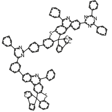 c1ccc(-c2cc(-c3cccc(-c4ccc5c(c4)nc(-c4ccccc4)c4cc6c(cc45)C4(c5ccccc5S6)c5ccccc5-c5ccccc54)c3)nc(-c3ccc(-c4ccc5c(c4)Sc4cc6c(-c7ccccc7)nc7cc(-c8nc(-c9ccccc9)nc(-c9ccccc9)n8)ccc7c6cc4C54c5ccccc5-c5ccccc54)cc3)n2)cc1